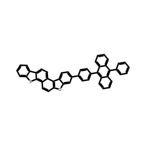 c1ccc(-c2c3ccccc3c(-c3ccc(-c4ccc5c(c4)oc4ccc6c(ccc7c8ccccc8sc76)c45)cc3)c3ccccc23)cc1